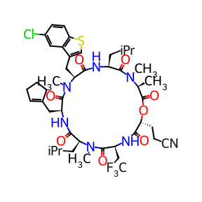 CC(C)C[C@@H]1NC(=O)[C@H](Cc2csc3ccc(Cl)cc23)N(C)C(=O)[C@H](CC2=CCCC2)NC(=O)[C@H](CC(C)C)N(C)C(=O)[C@H](CC(F)(F)F)NC(=O)[C@@H](CCC#N)OC(=O)[C@H](C)N(C)C1=O